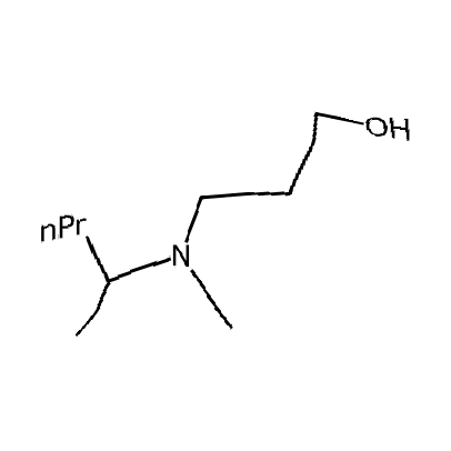 CCCC(C)N(C)CCCO